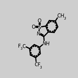 Cc1ccc2c(c1)S(=O)(=O)N=C2Nc1cc(C(F)(F)F)cc(C(F)(F)F)c1